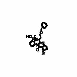 O=C(O)NC(CCOCc1ccccc1)c1nn2ccc(Br)c2c(=O)n1-c1ccccc1